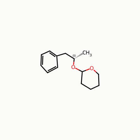 C[C@@H](Cc1ccccc1)OC1CCCCO1